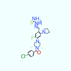 C[C@@H]1CN(c2cc(N3CCCC3)c(C=NNC(N)=S)cc2F)C[C@H](C)N1C(=O)c1ccc(Cl)cc1